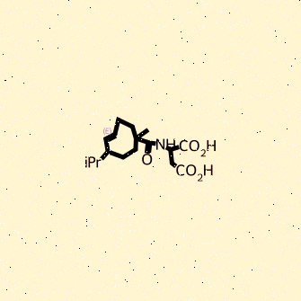 CC(C)C1/C=C/CCC(C)(C(=O)NC(CC(=O)O)C(=O)O)CC1